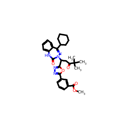 COC(=O)c1cccc(-c2nnc(C(CC(=O)C(C)(C)C)N3N=C(C4CCCCC4)c4ccccc4NC3=O)o2)c1